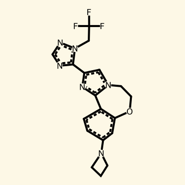 FC(F)(F)Cn1ncnc1-c1cn2c(n1)-c1ccc(N3CCC3)cc1OCC2